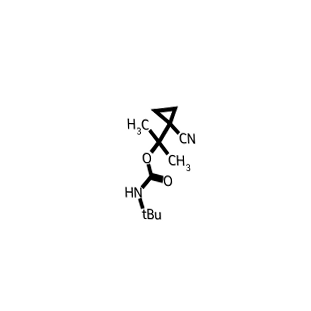 CC(C)(C)NC(=O)OC(C)(C)C1(C#N)CC1